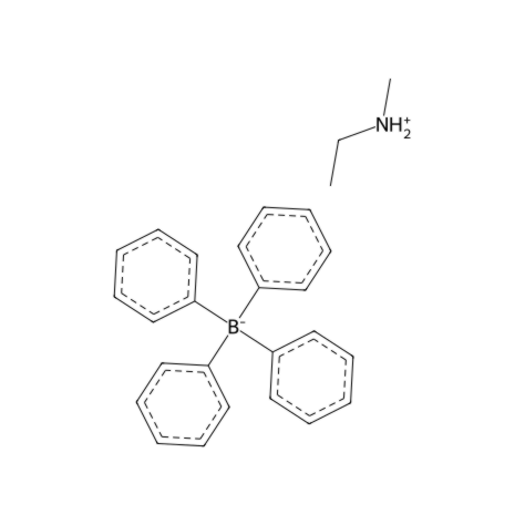 CC[NH2+]C.c1ccc([B-](c2ccccc2)(c2ccccc2)c2ccccc2)cc1